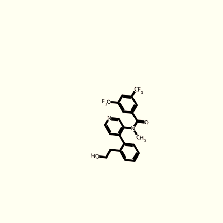 CN(C(=O)c1cc(C(F)(F)F)cc(C(F)(F)F)c1)c1cnccc1-c1ccccc1CCO